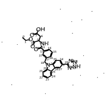 CCOC(=O)C(CC(=O)O)NC(=O)c1cccc(Cn2c3ccccc3c3cc(-c4nn[nH]n4)ccc32)c1